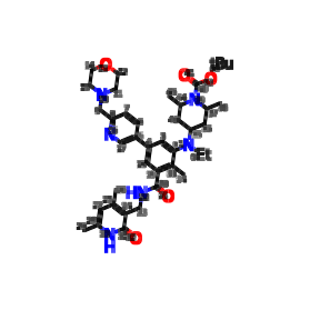 CCN(c1cc(-c2ccc(CN3CCOCC3)nc2)cc(C(=O)NCc2c(C)cc(C)[nH]c2=O)c1C)C1CC(C)N(C(=O)OC(C)(C)C)C(C)C1